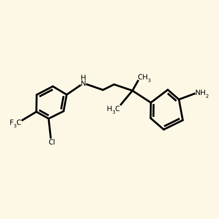 CC(C)(CCNc1ccc(C(F)(F)F)c(Cl)c1)c1cccc(N)c1